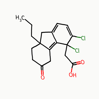 CCCC12CCC(=O)CC1=C1C(=CC=C(Cl)C1(Cl)CC(=O)O)C2